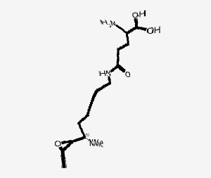 CN[C@@H](CCCCNC(=O)CCC(N)C(O)O)C1OC1C